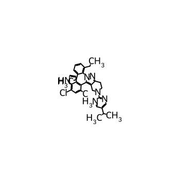 CCc1cccc(CC)c1-n1nc2c(c1-c1c(C)cc(Cl)c3[nH]ccc13)CN(c1ncc(C(C)C)cn1)CC2